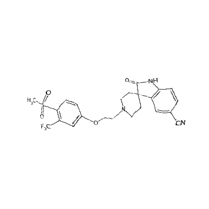 CS(=O)(=O)c1ccc(OCCN2CCC3(CC2)C(=O)Nc2ccc(C#N)cc23)cc1C(F)(F)F